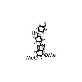 COc1cc(OC)c2cnc(-c3ccc(Nc4ccc(C)cc4)cc3)nc2c1